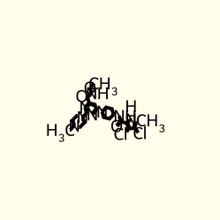 CONC(=O)c1cc(N2CCC(NC(=O)c3[nH]c(C)c(Cl)c3Cl)CC2)nc(N2CCN(C)CC2)n1